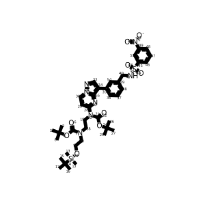 CC(C)(C)OC(=O)N(CCO[Si](C)(C)C(C)(C)C)CCN(C(=O)OC(C)(C)C)c1ccn2ncc(-c3cccc(CNS(=O)(=O)c4cccc([N+](=O)[O-])c4)c3)c2n1